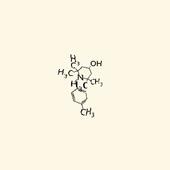 Cc1ccc(CN2C(C)(C)CC(O)CC2(C)C)cc1